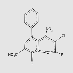 O=C(O)c1cn(-c2ccccc2)c2c([N+](=O)[O-])c(Cl)c(F)cc2c1=O